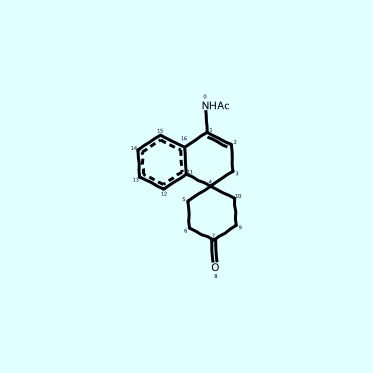 CC(=O)NC1=CCC2(CCC(=O)CC2)c2ccccc21